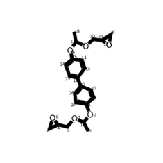 CC(OCC1CO1)Oc1ccc(-c2ccc(OC(C)OCC3CO3)cc2)cc1